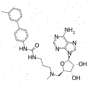 Cc1cccc(-c2ccc(NC(=O)NCCCN(C)C[C@H]3O[C@@H](n4cnc5c(N)ncnc54)[C@H](O)[C@@H]3O)cc2)c1